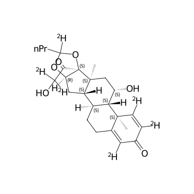 [2H]C1=C([2H])[C@@]2(C)C(=C([2H])C1=O)CC[C@@H]1[C@@H]2[C@@H](O)C[C@@]2(C)[C@H]1C[C@H]1OC([2H])(CCC)O[C@]12C(=O)C([2H])([2H])O